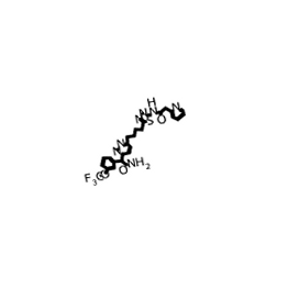 NC(=O)C(c1cccc(OC(F)(F)F)c1)c1ccc(CCCCc2nnc(NC(=O)Cc3ccccn3)s2)nn1